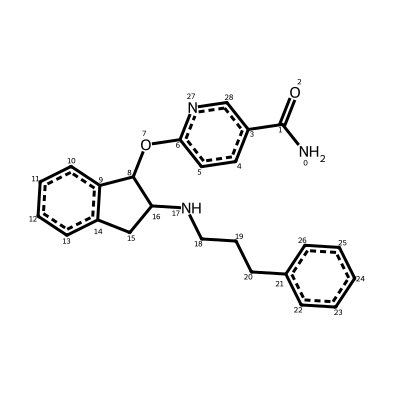 NC(=O)c1ccc(OC2c3ccccc3CC2NCCCc2ccccc2)nc1